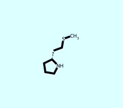 CSCC[C@H]1CCCN1